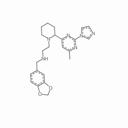 Cc1cc(C2CCCCN2CCNCc2ccc3c(c2)OCO3)nc(-n2ccnc2)n1